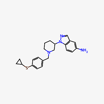 Nc1ccc2c(cnn2C2CCCN(Cc3ccc(SC4CC4)cc3)C2)c1